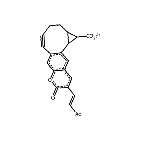 CCOC(=O)C1C2CCC#Cc3cc4oc(=O)c(/C=C/C(C)=O)cc4cc3C21